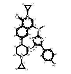 CN(c1nc(-c2ccc(F)cc2)c(C#N)s1)c1cn(C2CC2)c(=O)c2ccc(C3CCN(C4CC4)CC3)cc12